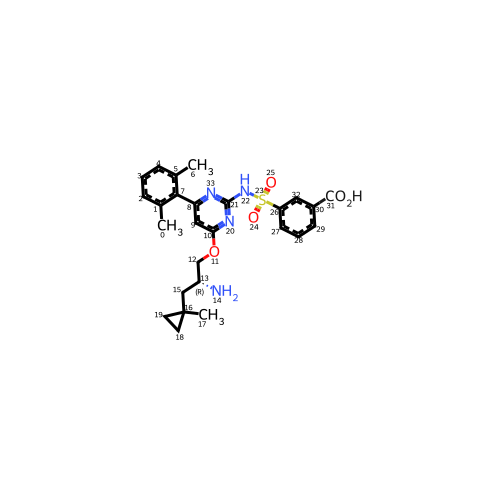 Cc1cccc(C)c1-c1cc(OC[C@H](N)CC2(C)CC2)nc(NS(=O)(=O)c2cccc(C(=O)O)c2)n1